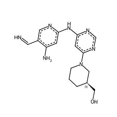 N=Cc1cnc(Nc2cc(N3CCC[C@H](CO)C3)ncn2)cc1N